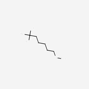 [CH2]OCCCCCC(F)(F)F